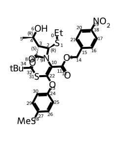 CCS[C@@H]1[C@@H]([C@@H](C)O)C(=O)N1C(C(=O)OCc1ccc([N+](=O)[O-])cc1)=C(Oc1ccc(SC)cc1)SC(=O)C(C)(C)C